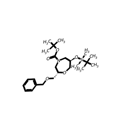 CC(C)(C)OC(=O)N1C[C@@H](COCc2ccccc2)OC[C@H](O[Si](C)(C)C(C)(C)C)C1